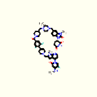 CNc1cc(=O)n(-c2ccnc3c2cc(CN2CC=C(c4c(F)cc(C(=O)N5CCC(CN6CCN(Cc7ccc8c(c7)n(C)c(=O)n8[C@H]7CCC(=O)NC7=O)C[C@@H]6C)CC5)cc4F)CC2)n3C)cc1F